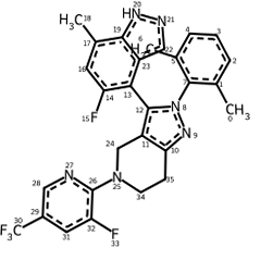 Cc1cccc(C)c1-n1nc2c(c1-c1c(F)cc(C)c3[nH]ncc13)CN(c1ncc(C(F)(F)F)cc1F)CC2